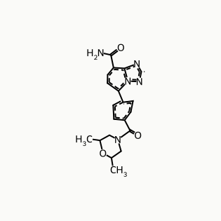 CC1CN(C(=O)c2ccc(-c3ccc(C(N)=O)c4n[c]nn34)cc2)CC(C)O1